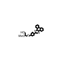 COC(CO)COCc1ccc(-c2cnc3c4ccccc4c4ccccc4c3n2)cc1